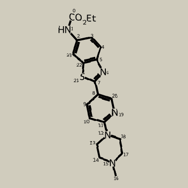 CCOC(=O)Nc1ccc2nc(-c3ccc(N4CCN(C)CC4)nc3)sc2c1